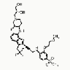 COCCOc1cc(S(C)(=O)=O)ccc1NCC#Cc1sc2c(NC3CCN(CC(O)CO)CC3F)cccc2c1CC(F)(F)F